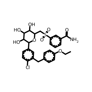 CCOc1ccc(Cc2cc(C3OC(CS(=O)(=O)c4cccc(C(N)=O)c4)C(O)C(O)C3O)ccc2Cl)cc1